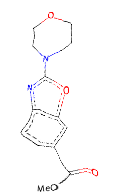 COC(=O)c1ccc2nc(N3CCOCC3)oc2c1